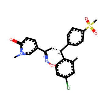 Cc1cc(Cl)ccc1[C@H](C/C(=N\O)c1ccc(=O)n(C)c1)c1ccc(S(C)(=O)=O)cc1